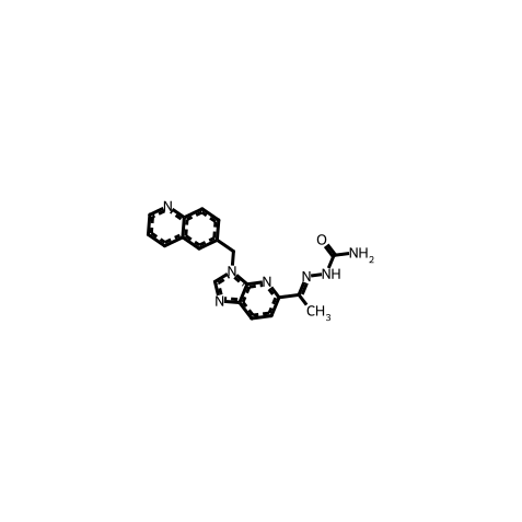 CC(=NNC(N)=O)c1ccc2ncn(Cc3ccc4ncccc4c3)c2n1